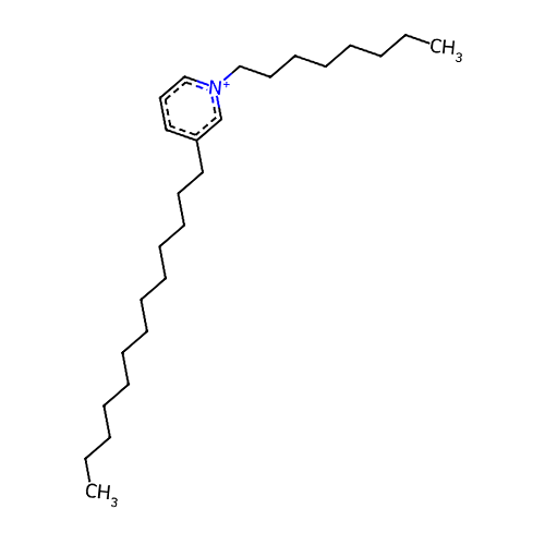 CCCCCCCCCCCCCc1ccc[n+](CCCCCCCC)c1